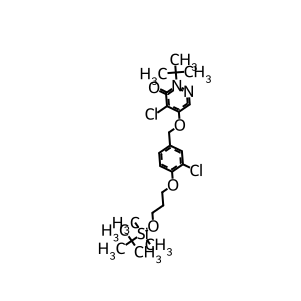 CC(C)(C)n1ncc(OCc2ccc(OCCCO[Si](C)(C)C(C)(C)C)c(Cl)c2)c(Cl)c1=O